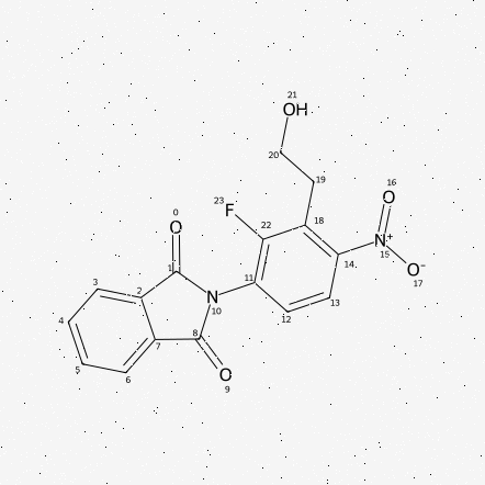 O=C1c2ccccc2C(=O)N1c1ccc([N+](=O)[O-])c(CCO)c1F